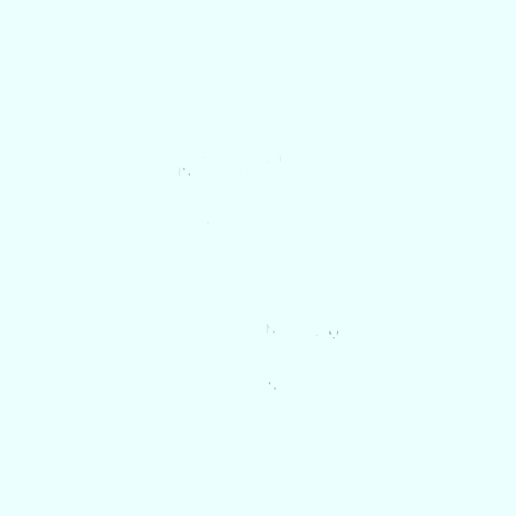 COc1cnc2cccc(C=CC3CCC(NC(=O)OC(C)(C)C)CC3)c2n1